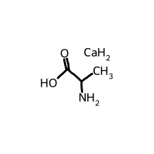 CC(N)C(=O)O.[CaH2]